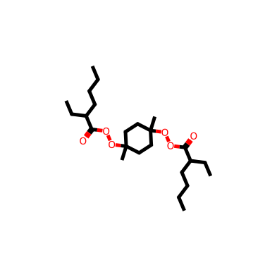 CCCCC(CC)C(=O)OOC1(C)CCC(C)(OOC(=O)C(CC)CCCC)CC1